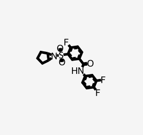 O=C(Nc1ccc(F)c(F)c1)c1ccc(F)c(S(=O)(=O)N2C3CCCC32)c1